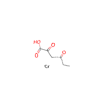 CCC(=O)CC(=O)C(=O)O.[Cr]